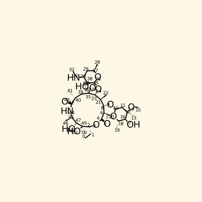 CC[C@H]1OC(=O)[C@H](C)[C@@H](O[C@H]2C[C@@](C)(OC)[C@@H](O)[C@H](C)O2)[C@H](C)[C@@H](O[C@@H]2O[C@H](C)C[C@H](NC)[C@H]2O)[C@](C)(OC)C[C@@H](C)C(=O)N[C@H](C)[C@@H](O)[C@]1(C)O